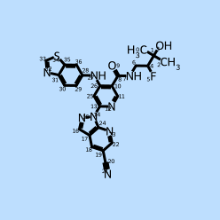 CC(C)(O)C(F)CNC(=O)c1cnc(-n2ncc3cc(C#N)cnc32)cc1Nc1ccc2ncsc2c1